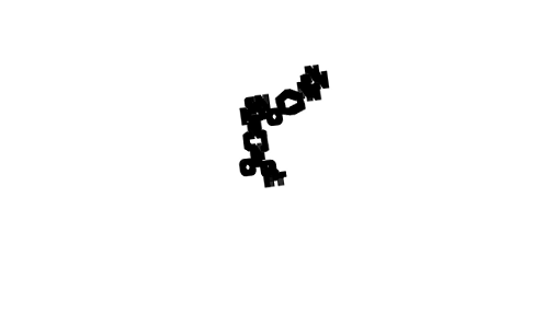 CC(C)OC(=O)N1CCN(c2nsnc2Oc2ccc(-n3cnnn3)cc2)CC1